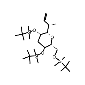 C=C[C@H](C)[C@@H]1O[C@H](CO[Si](C)(C)C(C)(C)C)[C@@H](O[Si](C)(C)C(C)(C)C)C[C@@H]1O[Si](C)(C)C(C)(C)C